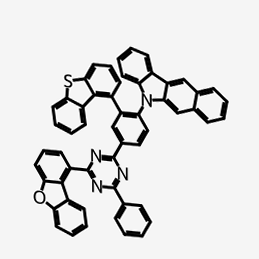 c1ccc(-c2nc(-c3ccc(-n4c5ccccc5c5cc6ccccc6cc54)c(-c4cccc5sc6ccccc6c45)c3)nc(-c3cccc4oc5ccccc5c34)n2)cc1